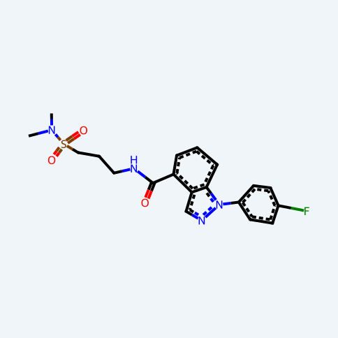 CN(C)S(=O)(=O)CCCNC(=O)c1cccc2c1cnn2-c1ccc(F)cc1